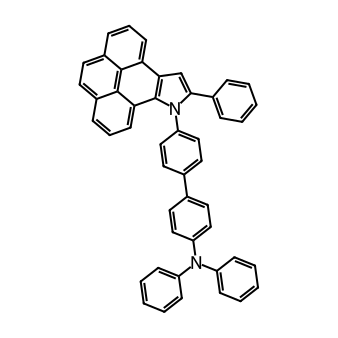 c1ccc(-c2cc3c4cccc5ccc6cccc(c6c54)c3n2-c2ccc(-c3ccc(N(c4ccccc4)c4ccccc4)cc3)cc2)cc1